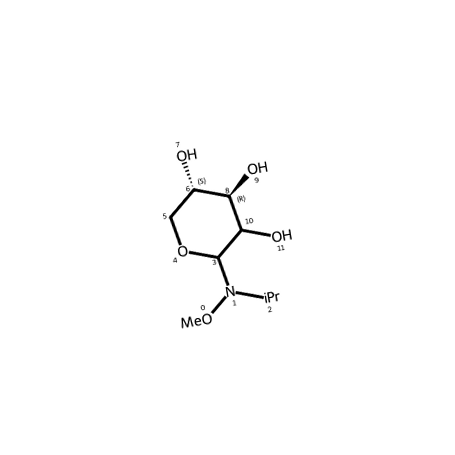 CON(C(C)C)C1OC[C@H](O)[C@@H](O)C1O